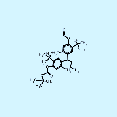 CCCC(c1cc(C(C)(C)C)c(OC=O)cc1C)c1cc(C(C)(C)C)c(OC(=O)OC(C)(C)C)cc1C